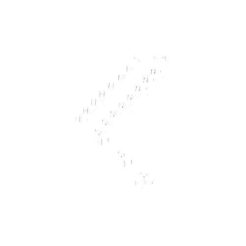 O=[N+]([O-])O.O=[N+]([O-])O.O=[N+]([O-])O.O=[N+]([O-])O.O=[N+]([O-])O.O=[N+]([O-])O.O=[N+]([O-])O.O=[N+]([O-])O.O=[N+]([O-])O.O=[N+]([O-])O.[BaH2].[BaH2]